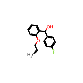 C=CCOc1ccccc1C(O)c1ccc(F)cc1